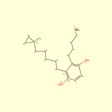 CC(C)(C)CCCCc1c(O)ccc(O)c1CCCCCC1(C)CC1